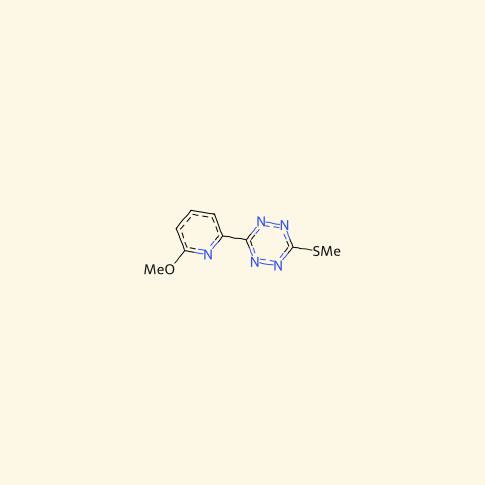 COc1cccc(-c2nnc(SC)nn2)n1